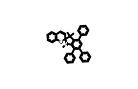 CN1c2c(-c3ccccc3)c(-c3ccccc3)cc(-c3ccccc3)c2C(C)(C)C12C=Cc1ccccc1O2